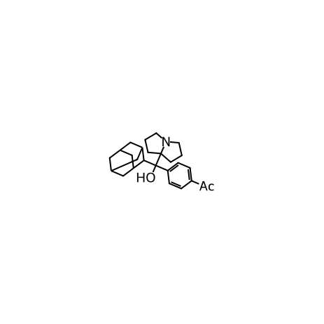 CC(=O)c1ccc(C(O)(C2C3CC4CC(C3)CC2C4)C23CCCN2CCC3)cc1